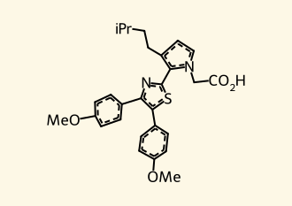 COc1ccc(-c2nc(-c3c(CCC(C)C)ccn3CC(=O)O)sc2-c2ccc(OC)cc2)cc1